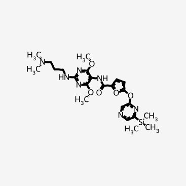 COc1nc(NCCCN(C)C)nc(OC)c1NC(=O)c1ccc(Oc2cncc([Si](C)(C)C)n2)o1